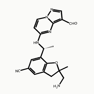 C[C@@H](Nc1ccn2ncc(C=O)c2n1)c1cc(C#N)cc2c1OC(C)(CN)C2